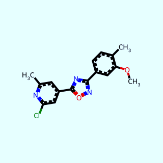 COc1cc(-c2noc(-c3cc(C)nc(Cl)c3)n2)ccc1C